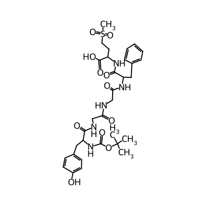 CC(C)(C)OC(=O)NC(Cc1ccc(O)cc1)C(=O)NCC(=O)NCC(=O)NC(Cc1ccccc1)C(=O)NC(CCS(C)(=O)=O)C(=O)O